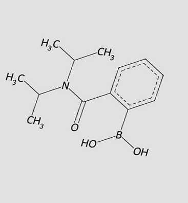 CC(C)N(C(=O)c1ccccc1B(O)O)C(C)C